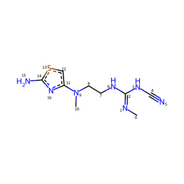 CN=C(NC#N)NCCN(C)c1csc(N)n1